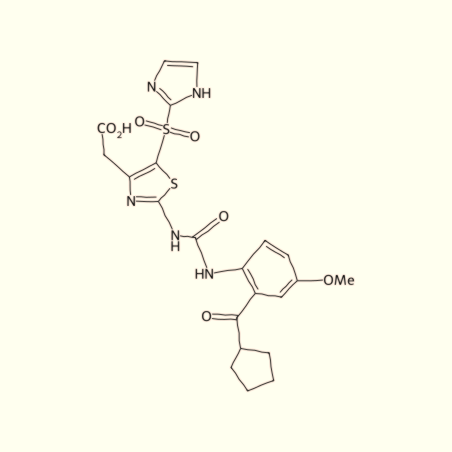 COc1ccc(NC(=O)Nc2nc(CC(=O)O)c(S(=O)(=O)c3ncc[nH]3)s2)c(C(=O)C2CCCC2)c1